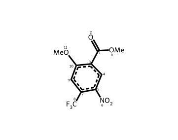 COC(=O)c1cc([N+](=O)[O-])c(C(F)(F)F)cc1OC